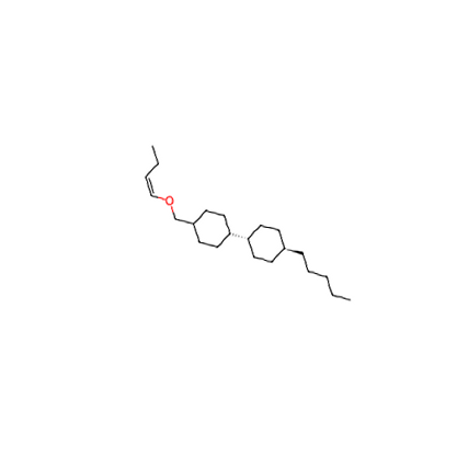 CC/C=C\OCC1CCC([C@H]2CC[C@H](CCCCC)CC2)CC1